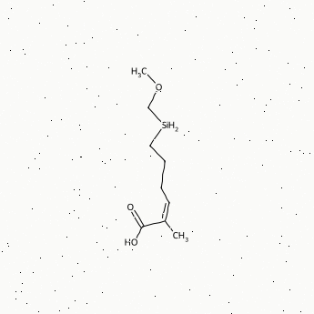 COC[SiH2]CCCC=C(C)C(=O)O